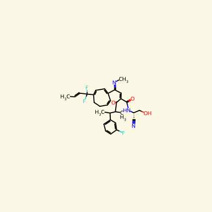 C/C=C/C(F)(F)/C1=C/C=C(C(/C=C(/C(=O)N[C@@H](C#N)CO)C(=O)C(C)C(C)c2cccc(F)c2)=N/C)\C=C/CC1